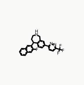 Fc1cc2ccccc2cc1C1CCNCc2cc(-c3ccc(C(F)(F)F)nn3)ccc21